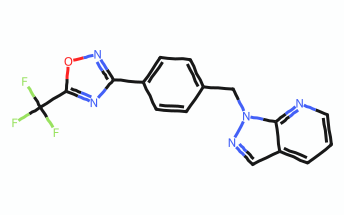 FC(F)(F)c1nc(-c2ccc(Cn3ncc4cccnc43)cc2)no1